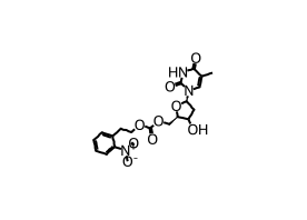 Cc1cn([C@H]2CC(O)[C@@H](COC(=O)OCCc3ccccc3[N+](=O)[O-])O2)c(=O)[nH]c1=O